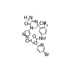 Cn1cc(N2CC(C)(c3cc(NC(=O)Oc4ccc(Br)cn4)ccc3F)N=C(N)C2=O)cn1